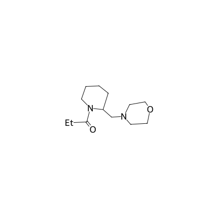 CCC(=O)N1CCCCC1CN1CCOCC1